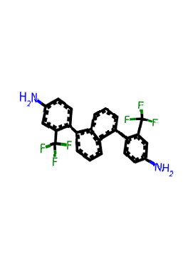 Nc1ccc(-c2cccc3c(-c4ccc(N)cc4C(F)(F)F)cccc23)c(C(F)(F)F)c1